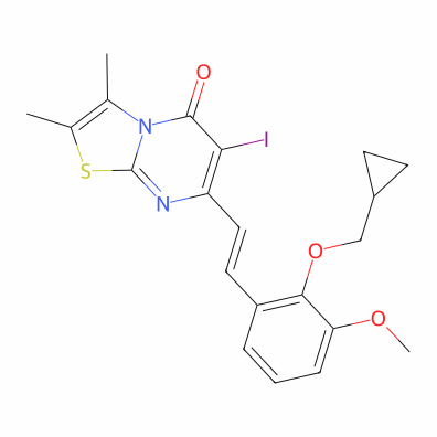 COc1cccc(C=Cc2nc3sc(C)c(C)n3c(=O)c2I)c1OCC1CC1